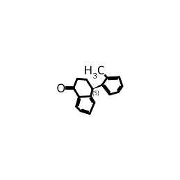 Cc1ccccc1[C@@H]1CCC(=O)c2ccccc21